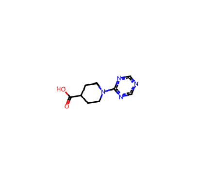 O=C(O)C1CCN(c2ncncn2)CC1